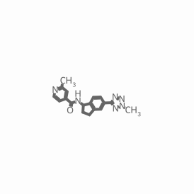 Cc1cc(C(=O)NC2CCc3cc(-c4nnn(C)n4)ccc32)ccn1